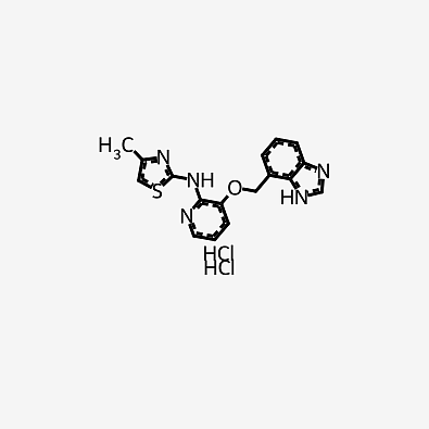 Cc1csc(Nc2ncccc2OCc2cccc3nc[nH]c23)n1.Cl.Cl